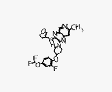 Cc1cc2nc(N3CCC(Oc4ccc(OC(F)F)cc4F)CC3)c(NC3CCOC3)nc2cn1